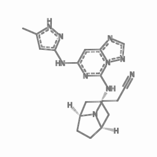 Cc1cc(Nc2cc3ncnn3c(N[C@@H]3C[C@H]4CC[C@@H](C3)N4CCC#N)n2)n[nH]1